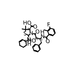 Cc1c(F)cccc1C(=O)N[C@@H](Cc1ccccc1)[C@H](O)C(=O)N1C(N[C@@H]2C=CCCC2)SC(C)(C)[C@H]1C(=O)O